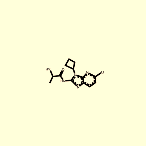 CC(C)C(C)C(=O)Nc1nc2ccc(Cl)nc2n1C1CCC1